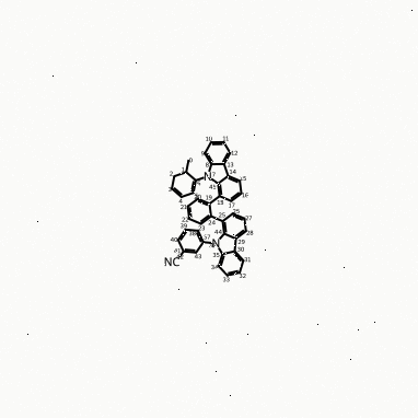 CC1CC=CC=C1n1c2ccccc2c2cccc(-c3ccccc3-c3cccc4c5ccccc5n(-c5cccc(C#N)c5)c34)c21